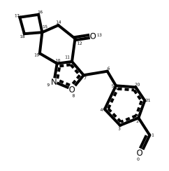 O=Cc1ccc(Cc2onc3c2C(=O)CC2(CCC2)C3)cc1